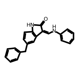 O=C1Nc2ccc(Cc3ccccc3)cc2C1=CNc1ccccc1